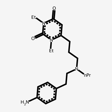 CCCN(CCCc1cc(=O)n(CC)c(=O)n1CC)CCc1ccc(N)cc1